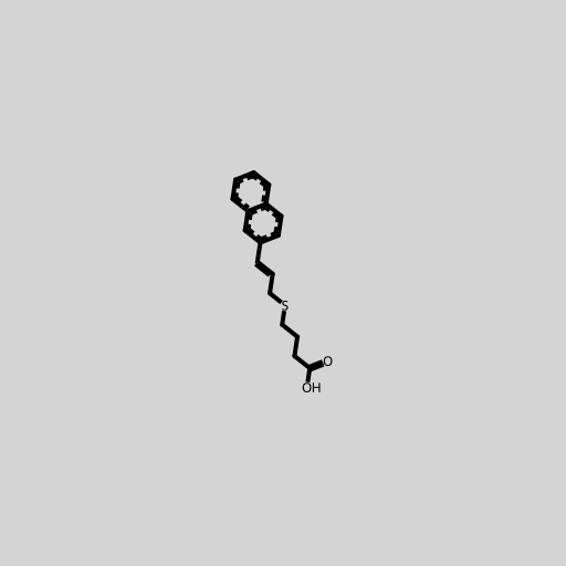 O=C(O)CCCSC/C=C/c1ccc2ccccc2c1